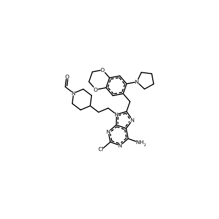 Nc1nc(Cl)nc2c1nc(Cc1cc3c(cc1N1CCCC1)OCCO3)n2CCC1CCN(C=O)CC1